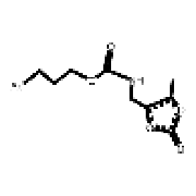 CC(=O)CCCOC(=O)NCc1oc(=O)oc1C